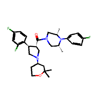 C[C@@H]1CN(C(=O)[C@@H]2CN([C@@H]3CCOC(C)(C)C3)C[C@H]2c2ccc(F)cc2F)C[C@H](C)N1c1ccc(F)cc1